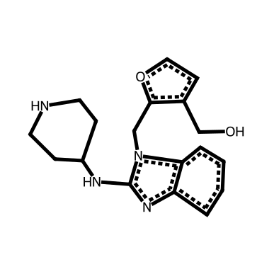 OCc1ccoc1Cn1c(NC2CCNCC2)nc2ccccc21